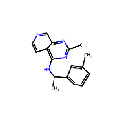 Cc1cccc([C@@H](C)Nc2nc(C)nc3cnccc23)c1